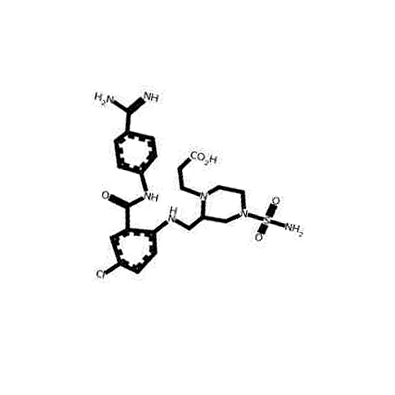 N=C(N)c1ccc(NC(=O)c2cc(Cl)ccc2NCC2CN(S(N)(=O)=O)CCN2CCC(=O)O)cc1